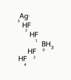 B.F.F.F.F.[Ag]